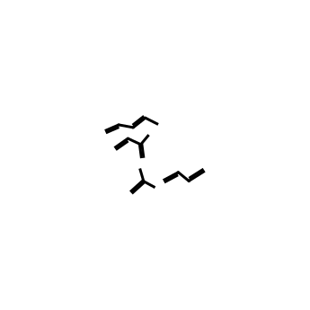 C=C(C)C.C=CC(=C)C.C=CC=C.C=CC=CC